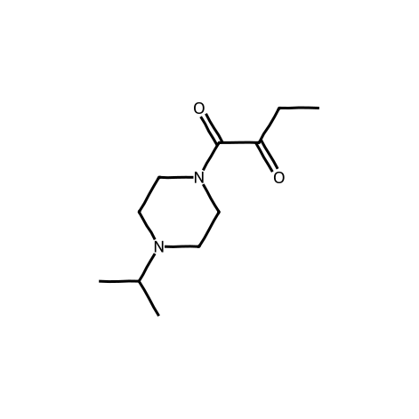 CCC(=O)C(=O)N1CCN(C(C)C)CC1